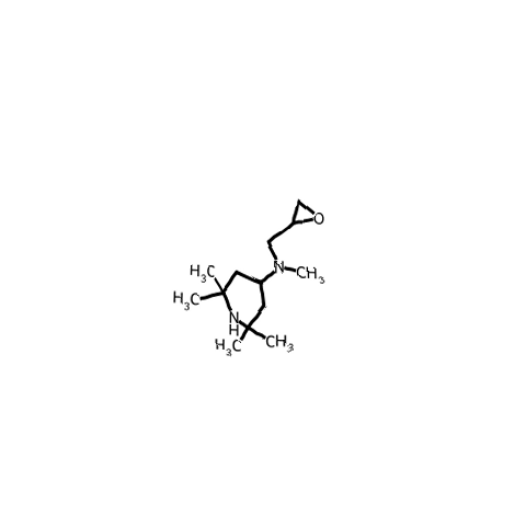 CN(CC1CO1)C1CC(C)(C)NC(C)(C)C1